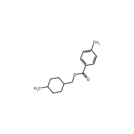 Cc1ccc(C(=O)OCC2CCC(C)CC2)cc1